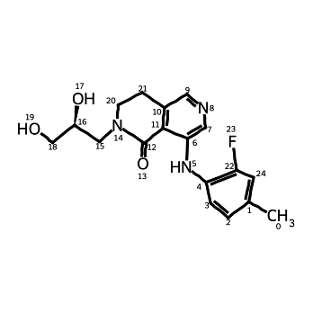 Cc1ccc(Nc2cncc3c2C(=O)N(C[C@H](O)CO)CC3)c(F)c1